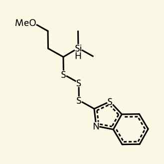 COCCC(SSSc1nc2ccccc2s1)[SiH](C)C